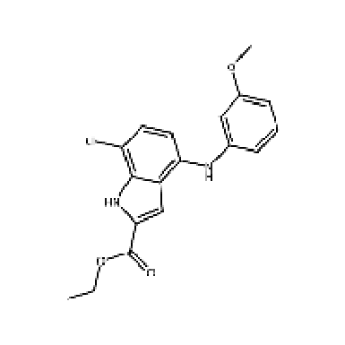 CCOC(=O)c1cc2c(Nc3cccc(OC)c3)ccc(Cl)c2[nH]1